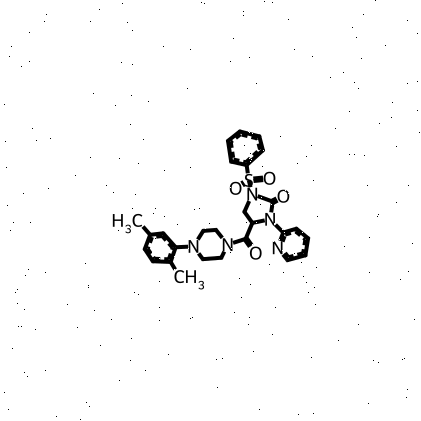 Cc1ccc(C)c(N2CCN(C(=O)C3CN(S(=O)(=O)c4ccccc4)C(=O)N3c3ccccn3)CC2)c1